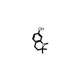 CN1c2cc(O)ccc2CCC1(C)C